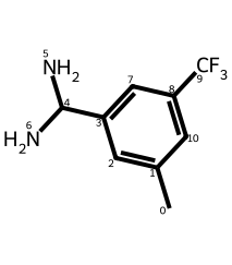 Cc1cc(C(N)N)cc(C(F)(F)F)c1